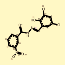 O=C(N/N=C/c1cc(Cl)cc(Cl)c1O)c1cccc([N+](=O)[O-])c1